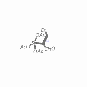 CC/C=C(/C=O)[Si](OC(C)=O)(OC(C)=O)OC(C)=O